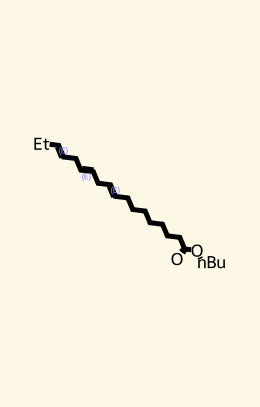 CC/C=C/C/C=C/C/C=C/CCCCCCCC(=O)OCCCC